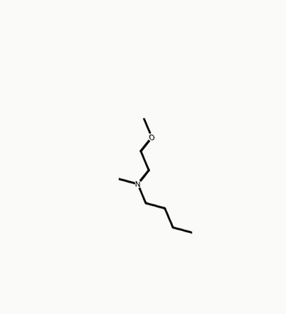 CCCCN(C)CCOC